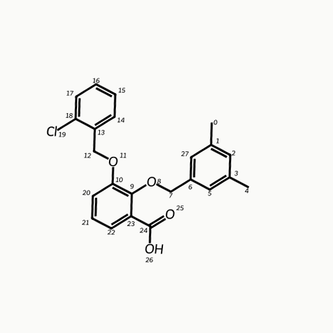 Cc1cc(C)cc(COc2c(OCc3ccccc3Cl)cccc2C(=O)O)c1